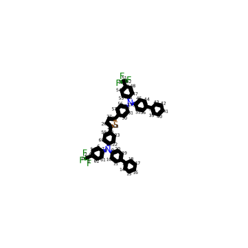 FC(F)(F)c1ccc(N(c2ccc(-c3ccccc3)cc2)c2ccc(-c3ccc(-c4ccc(N(c5ccc(-c6ccccc6)cc5)c5ccc(C(F)(F)F)cc5)cc4)s3)cc2)cc1